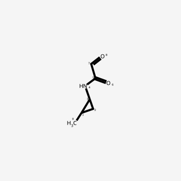 CC1CC1NC(=O)C=O